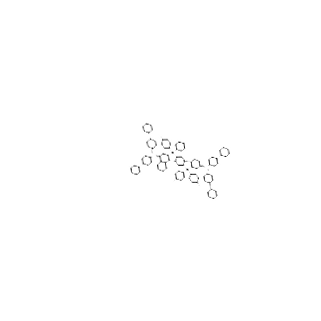 Cc1ccc(C2(c3ccc(C)cc3)c3cc(N(c4ccc(-c5ccccc5)cc4)c4ccc(-c5ccccc5)cc4)ccc3-c3cc4c(cc32)-c2c(cc(N(c3ccc(-c5ccccc5)cc3)c3ccc(-c5ccccc5)cc3)c3ccccc23)C4(c2ccc(C)cc2)c2ccc(C)cc2)cc1